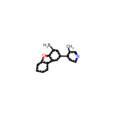 Bc1cc(-c2ccncc2C)cc2c1oc1ccccc12